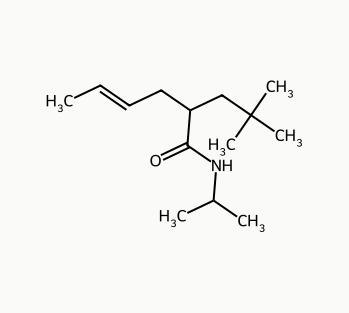 C/C=C/CC(CC(C)(C)C)C(=O)NC(C)C